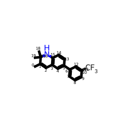 CC1=Cc2cc(-c3cccc(C(F)(F)F)c3)ccc2NC1(C)C